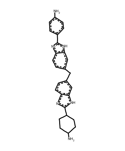 Nc1ccc(-c2nc3ccc(Cc4ccc5nc(C6CCC(N)CC6)[nH]c5c4)cc3[nH]2)cc1